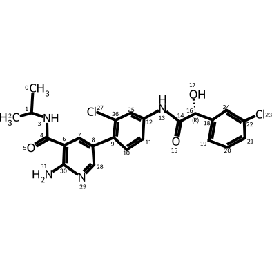 CC(C)NC(=O)c1cc(-c2ccc(NC(=O)[C@H](O)c3cccc(Cl)c3)cc2Cl)cnc1N